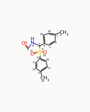 Cc1ccc(C(NC=O)S(=O)(=O)c2ccc(C)cc2)cc1